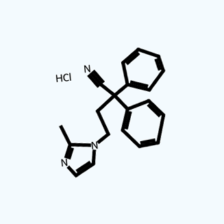 Cc1nccn1CCC(C#N)(c1ccccc1)c1ccccc1.Cl